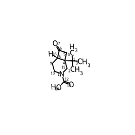 CC(C)(C)[C@]12CC(=O)[C@H]1CCN(C(=O)O)C2